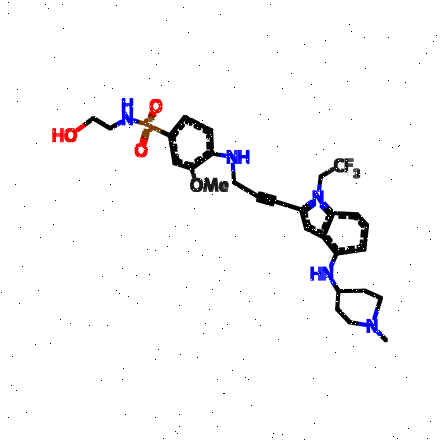 COc1cc(S(=O)(=O)NCCO)ccc1NCC#Cc1cc2c(NC3CCN(C)CC3)cccc2n1CC(F)(F)F